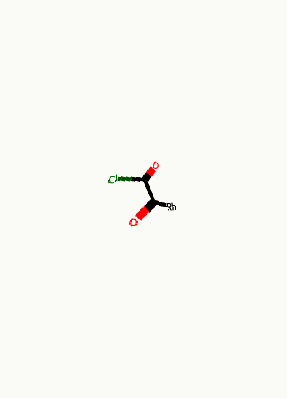 O=C(Cl)[C](=O)[Rh]